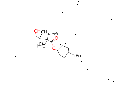 CCC(C)(CO)C(C)(CC(C)C)C(=O)OC1CCC(C(C)(C)C)CC1